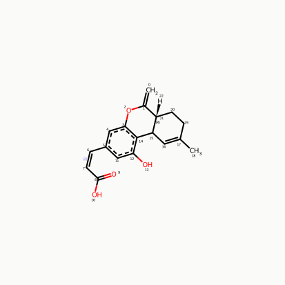 C=C1Oc2cc(/C=C\C(=O)O)cc(O)c2C2C=C(C)CC[C@@H]12